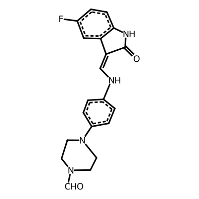 O=CN1CCN(c2ccc(NC=C3C(=O)Nc4ccc(F)cc43)cc2)CC1